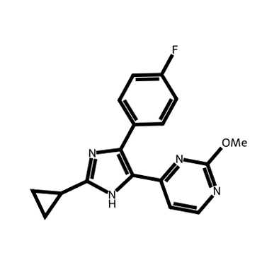 COc1nccc(-c2[nH]c(C3CC3)nc2-c2ccc(F)cc2)n1